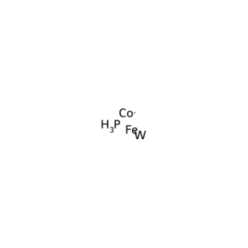 P.[Co].[Fe].[W]